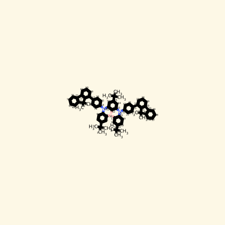 CC(C)(C)c1ccc2c(c1)B1c3cc(C(C)(C)C)ccc3N(c3ccc(-c4cccc5c4C(C)(C)c4ccccc4-5)cc3)c3cc(C(C)(C)C)cc(c31)N2c1ccc(-c2cccc3c2C(C)(C)c2ccccc2-3)cc1